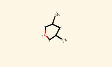 CCCCC1[CH]C(C)COC1